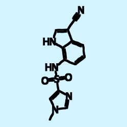 Cn1cnc(S(=O)(=O)Nc2cccc3c(C#N)c[nH]c23)c1